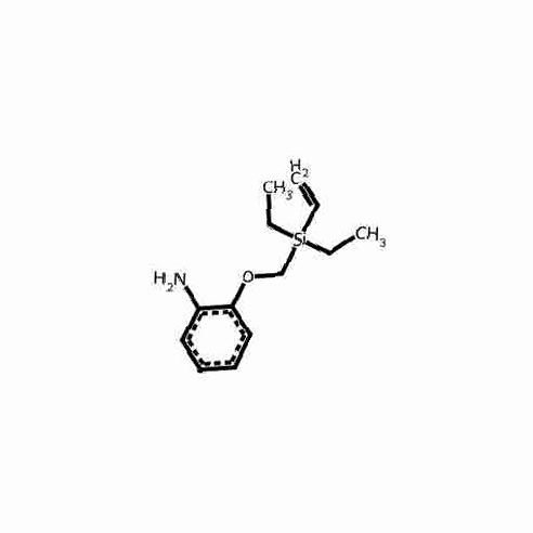 C=C[Si](CC)(CC)COc1ccccc1N